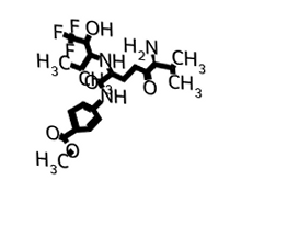 COC(=O)c1ccc(NC(=O)C(CCC(=O)[C@@H](N)C(C)C)NC(C(C)C)C(O)C(F)(F)F)cc1